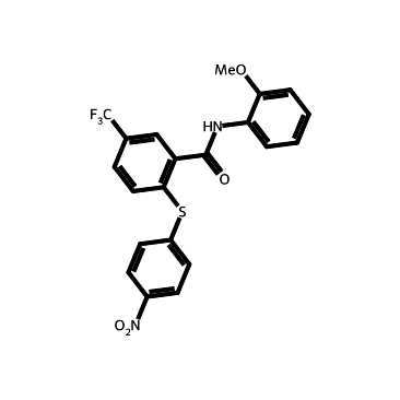 COc1ccccc1NC(=O)c1cc(C(F)(F)F)ccc1Sc1ccc([N+](=O)[O-])cc1